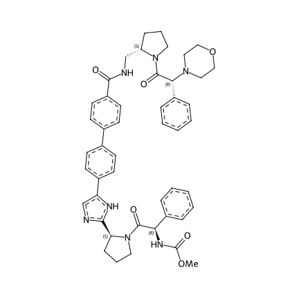 COC(=O)N[C@@H](C(=O)N1CCC[C@H]1c1ncc(-c2ccc(-c3ccc(C(=O)NC[C@@H]4CCCN4C(=O)[C@@H](c4ccccc4)N4CCOCC4)cc3)cc2)[nH]1)c1ccccc1